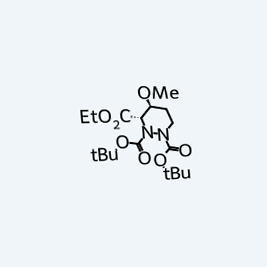 CCOC(=O)[C@@H]1[C@@H](OC)CCN(C(=O)OC(C)(C)C)N1C(=O)OC(C)(C)C